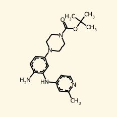 Cc1cc(Nc2cc(N3CCN(C(=O)OC(C)(C)C)CC3)ccc2N)ccn1